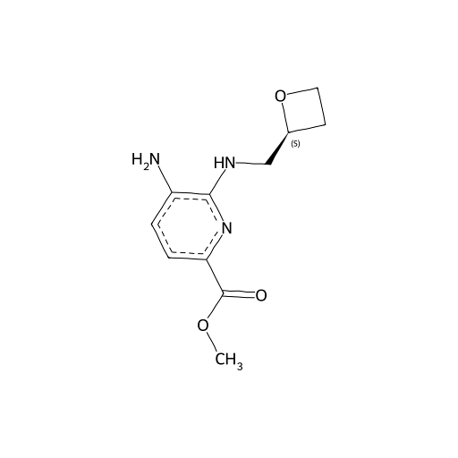 COC(=O)c1ccc(N)c(NC[C@@H]2CCO2)n1